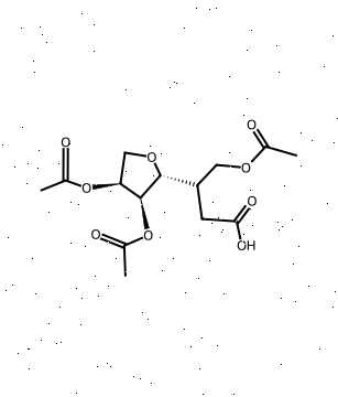 CC(=O)OCC(CC(=O)O)[C@H]1OC[C@H](OC(C)=O)[C@@H]1OC(C)=O